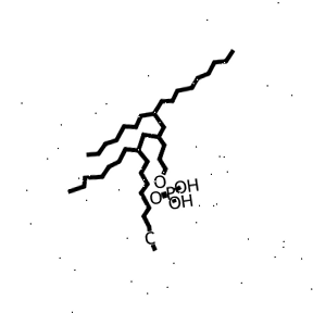 CCCCCCCCCC(CCCCCCC)CC(CCCOP(=O)(O)O)CC(CCCCCCC)CCCCCCCCC